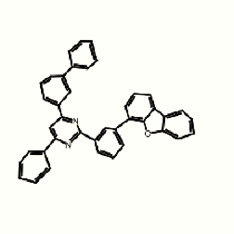 c1ccc(-c2cccc(-c3cc(-c4ccccc4)nc(-c4cccc(-c5cccc6c5oc5ccccc56)c4)n3)c2)cc1